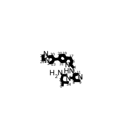 CC1CC(N)CN(c2ccncc2NCc2ccc3ccc(-c4ccn5ccnc5c4)cc3n2)C1